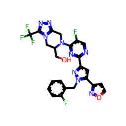 OCC1Cn2c(nnc2C(F)(F)F)CN1c1nc(-c2cc(-c3ccon3)n(Cc3ccccc3F)n2)ncc1F